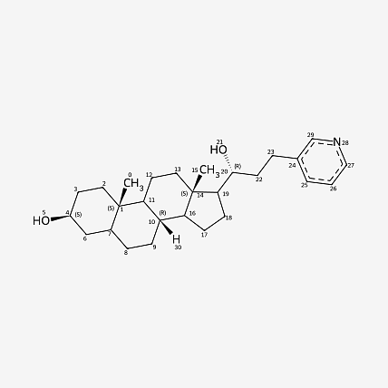 C[C@]12CC[C@H](O)CC1CC[C@@H]1C2CC[C@@]2(C)C1CCC2[C@H](O)CCc1cccnc1